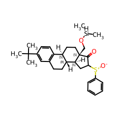 C[SiH](C)OC[C@]12CC[C@@H]3c4ccc(C(C)(C)C)cc4CC[C@H]3[C@@H]1CC([S+]([O-])c1ccccc1)C2=O